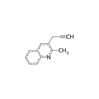 C#CCc1cc2ccccc2nc1C